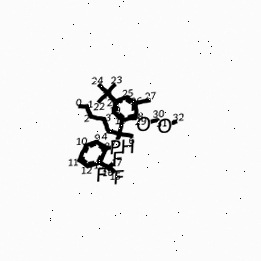 CCCCCC(C)(Pc1ccccc1C(F)(F)F)c1cc(C(C)(C)C)cc(C)c1OCOC